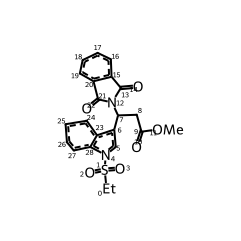 CCS(=O)(=O)n1cc(C(CC(=O)OC)N2C(=O)c3ccccc3C2=O)c2ccccc21